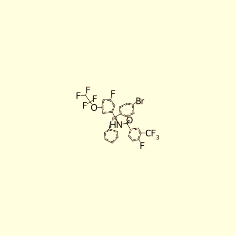 O=C(N[C@](Cc1ccccc1)(c1ccc(Br)cc1)c1cc(F)cc(OC(F)(F)C(F)F)c1)c1ccc(F)c(C(F)(F)F)c1